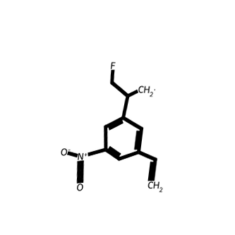 [CH2]C(CF)c1cc(C=C)cc([N+](=O)[O-])c1